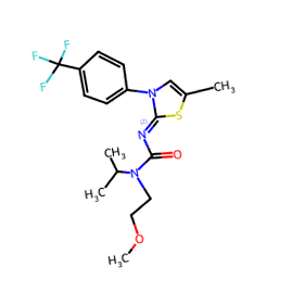 COCCN(C(=O)/N=c1\sc(C)cn1-c1ccc(C(F)(F)F)cc1)C(C)C